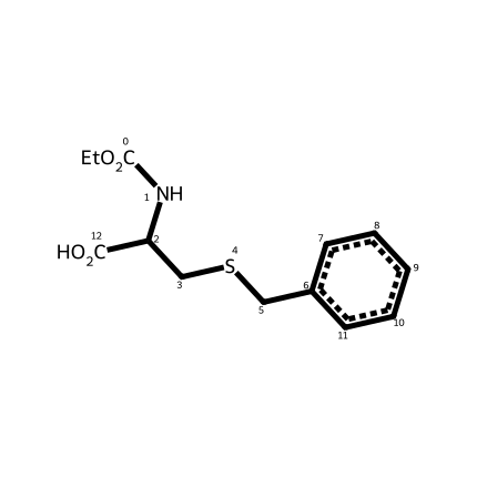 CCOC(=O)NC(CSCc1ccccc1)C(=O)O